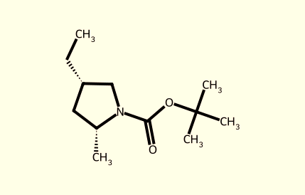 CC[C@H]1C[C@@H](C)N(C(=O)OC(C)(C)C)C1